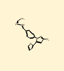 C/C=N\NCc1ccc(-n2nc(C(F)(F)F)cc2-c2ccco2)cc1